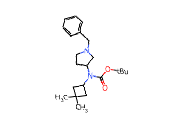 CC1(C)CC(N(C(=O)OC(C)(C)C)C2CCN(Cc3ccccc3)C2)C1